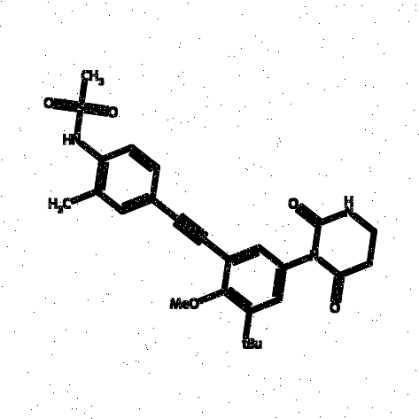 COc1c(C#Cc2ccc(NS(C)(=O)=O)c(C)c2)cc(N2C(=O)CCNC2=O)cc1C(C)(C)C